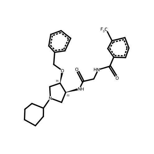 O=C(CNC(=O)c1cccc(C(F)(F)F)c1)N[C@H]1CN(C2CCCCC2)C[C@H]1OCc1ccccc1